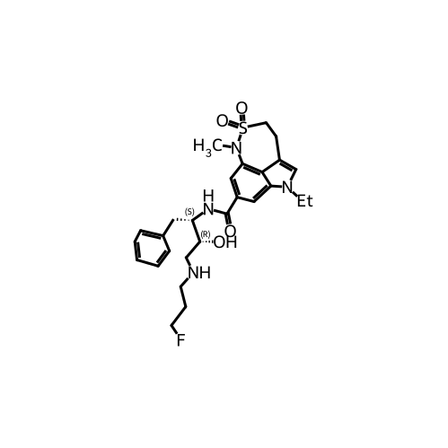 CCn1cc2c3c(cc(C(=O)N[C@@H](Cc4ccccc4)[C@H](O)CNCCCF)cc31)N(C)S(=O)(=O)CC2